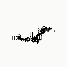 CNC(=O)c1ccc(NCC#Cc2cc3c(NC4CCN(CCOCCC(=O)O)CC4)cccc3n2CC(F)(F)F)c(OC)c1